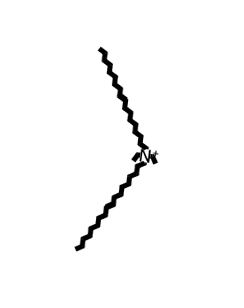 CCCCCCCCC=CCCCCCCCC[N+](CC)(CC)CCCCCCCCC=CCCCCCCCC